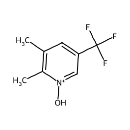 Cc1cc(C(F)(F)F)c[n+](O)c1C